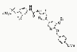 CCOC(=O)C(C)(C)Cc1ccc(NC(=O)Nc2ncc(-c3cnc(OCc4ccc(OC)cc4)c(OCC)c3)cc2C)cc1C(F)(F)F